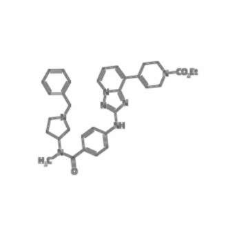 CCOC(=O)N1CC=C(c2cccn3nc(Nc4ccc(C(=O)N(C)C5CCN(Cc6ccccc6)C5)cc4)nc23)CC1